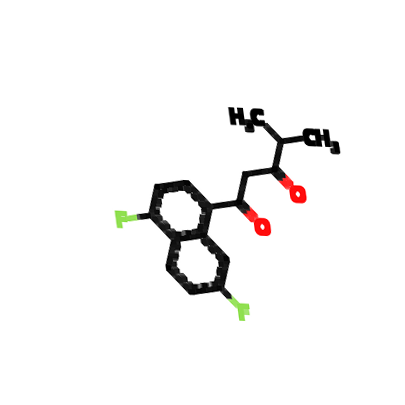 CC(C)C(=O)CC(=O)c1ccc(F)c2ccc(F)cc12